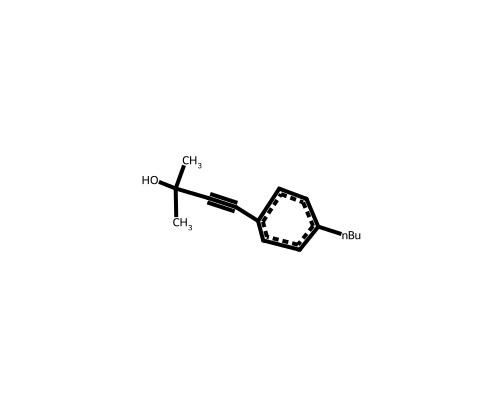 CCCCc1ccc(C#CC(C)(C)O)cc1